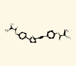 C=C(C)C(=O)Oc1ccc(C#Cc2ccc(-c3ccc(OC(=O)C(=C)C)cc3)o2)cc1